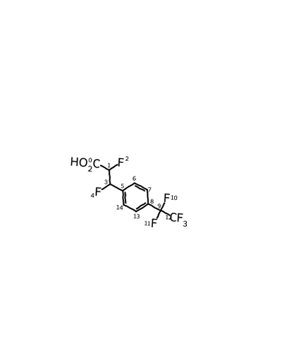 O=C(O)C(F)C(F)c1ccc(C(F)(F)C(F)(F)F)cc1